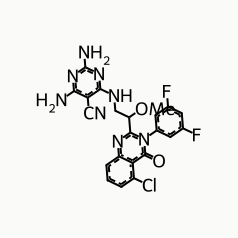 COC(CNc1nc(N)nc(N)c1C#N)c1nc2cccc(Cl)c2c(=O)n1-c1cc(F)cc(F)c1